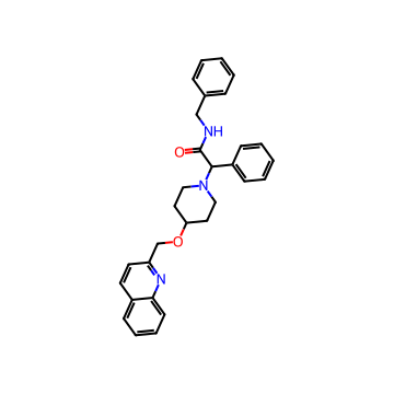 O=C(NCc1ccccc1)C(c1ccccc1)N1CCC(OCc2ccc3ccccc3n2)CC1